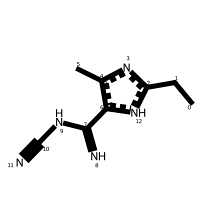 CCc1nc(C)c(C(=N)NC#N)[nH]1